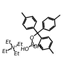 CC[N+](CC)(CC)CC.Cc1ccc(C(OB(O)O)(c2ccc(C)cc2)c2ccc(C)cc2)cc1